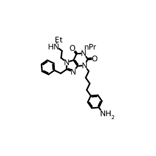 CCCn1c(=O)c2c(nc(Cc3ccccc3)n2CCNCC)n(CCCCc2ccc(N)cc2)c1=O